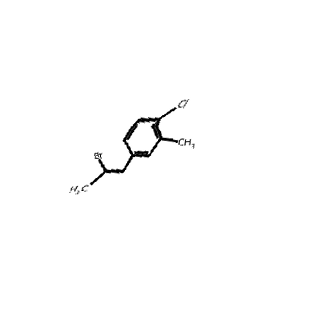 Cc1cc(CC(C)Br)ccc1Cl